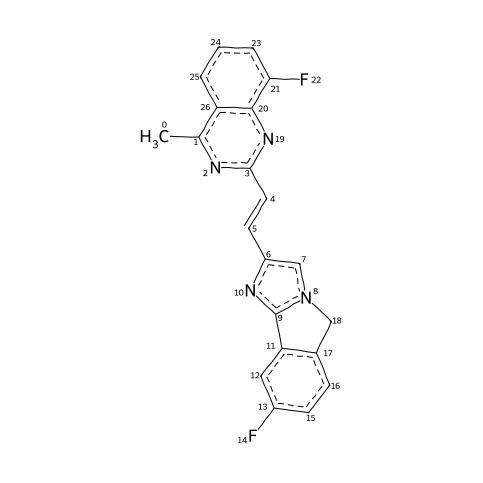 Cc1nc(C=Cc2cn3c(n2)-c2cc(F)ccc2C3)nc2c(F)cccc12